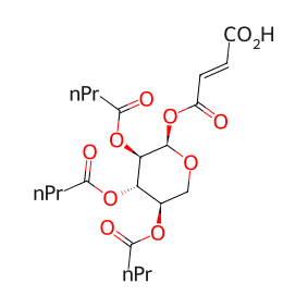 CCCC(=O)O[C@@H]1[C@@H](OC(=O)CCC)[C@@H](OC(=O)/C=C/C(=O)O)OC[C@H]1OC(=O)CCC